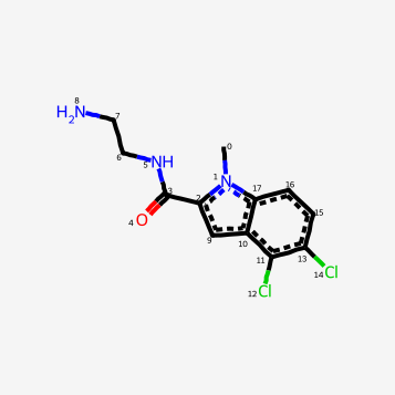 Cn1c(C(=O)NCCN)cc2c(Cl)c(Cl)ccc21